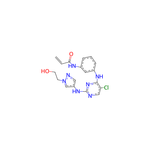 C=CC(=O)Nc1cccc(Nc2nc(Nc3cnn(CCO)c3)ncc2Cl)c1